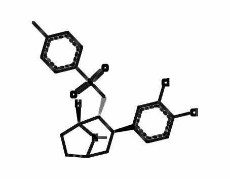 Cc1ccc(S(=O)(=O)C[C@@H]2[C@@H](c3ccc(Cl)c(Cl)c3)CC3CC[C@H]2N3C)cc1